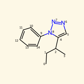 CCC(C)c1cnnn1-c1ccccc1